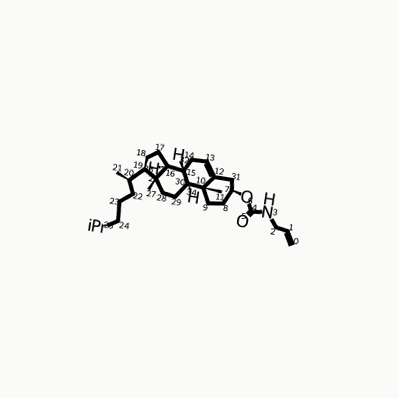 C=CCNC(=O)O[C@H]1CC[C@@]2(C)C(=CC[C@H]3[C@@H]4CC[C@H]([C@H](C)CCCC(C)C)[C@@]4(C)CC[C@@H]32)C1